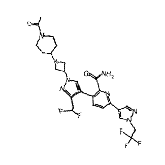 CC(=O)N1CCC(N2CC(n3cc(-c4ccc(-c5cnn(CC(F)(F)F)c5)nc4C(N)=O)c(C(F)F)n3)C2)CC1